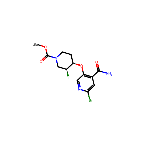 CC(C)(C)OC(=O)N1CC[C@@H](Oc2cnc(Br)cc2C(N)=O)[C@@H](F)C1